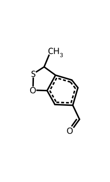 CC1SOc2cc(C=O)ccc21